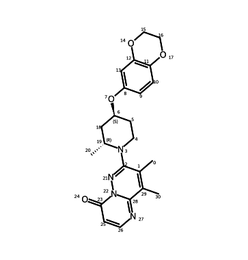 Cc1c(N2CC[C@H](Oc3ccc4c(c3)OCCO4)C[C@H]2C)nn2c(=O)ccnc2c1C